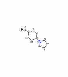 CC(C)(C)C1CCC(N2CCCC2)CC1